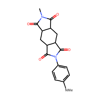 CNc1ccc(N2C(=O)C3CC4C(=O)N(C)C(=O)C4CC3C2=O)cc1